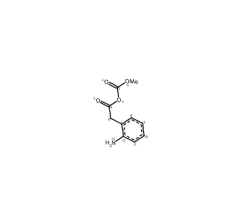 COC(=O)OC(=O)Cc1ccccc1N